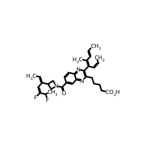 C\C=C/C(=C(C)\C=C\C)c1nc2ccc(C(=O)N3CC(C(=C/C)/C=C(/F)C(C)F)C3)cc2nc1CCCCC(=O)O